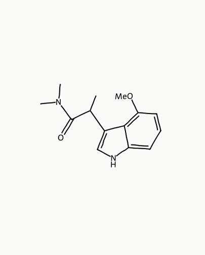 COc1cccc2[nH]cc(C(C)C(=O)N(C)C)c12